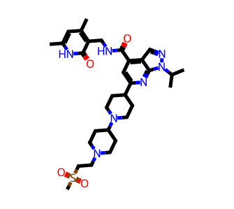 Cc1cc(C)c(CNC(=O)c2cc(C3CCN(C4CCN(CCS(C)(=O)=O)CC4)CC3)nc3c2cnn3C(C)C)c(=O)[nH]1